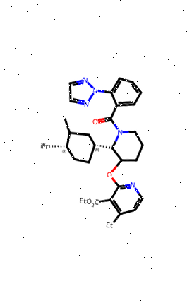 CCOC(=O)c1c(CC)ccnc1OC1CCCN(C(=O)c2ccccc2-n2nccn2)C1[C@@H]1CC[C@H](C(C)C)C(C)C1